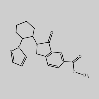 COC(=O)c1ccc2c(c1)C(=O)N(C1CCCCC1n1cccn1)C2